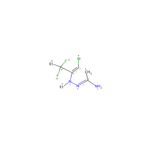 CCN(/N=C(\C)N)/C(=C/Br)C(F)(F)CC